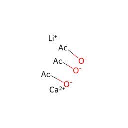 CC(=O)[O-].CC(=O)[O-].CC(=O)[O-].[Ca+2].[Li+]